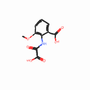 COc1cccc(C(=O)O)c1NC(=O)C(=O)O